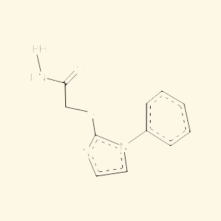 BNC(=O)CSc1nccn1-c1ccccc1